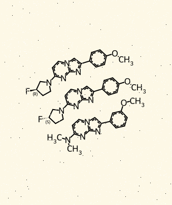 COc1ccc(-c2cn3ccc(N4CC[C@@H](F)C4)nc3n2)cc1.COc1ccc(-c2cn3ccc(N4CC[C@H](F)C4)nc3n2)cc1.COc1cccc(-c2cn3ccc(N(C)C)nc3n2)c1